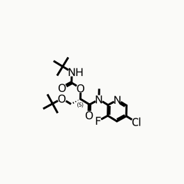 CN(C(=O)[C@H](COC(C)(C)C)OC(=O)NC(C)(C)C)c1ncc(Cl)cc1F